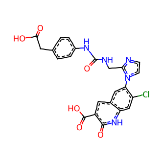 O=C(O)Cc1ccc(NC(=O)NCc2nccn2-c2cc3cc(C(=O)O)c(=O)[nH]c3cc2Cl)cc1